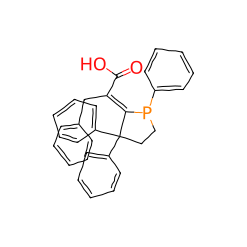 O=C(O)C(Cc1ccccc1)=C1P(c2ccccc2)CCC1(c1ccccc1)c1ccccc1